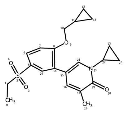 CCS(=O)(=O)c1ccc(OCC2CC2)c(-c2cc(C)c(=O)n(C3CC3)c2)c1